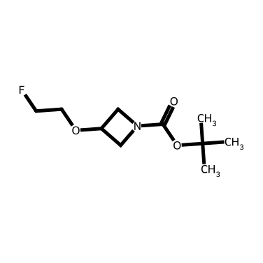 CC(C)(C)OC(=O)N1CC(OCCF)C1